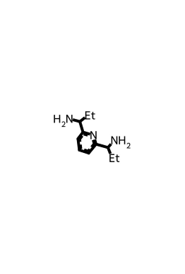 CCC(N)c1cccc(C(N)CC)n1